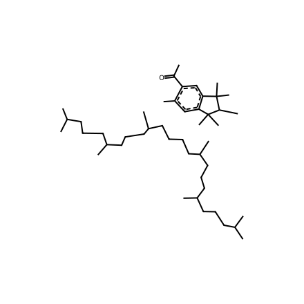 CC(=O)c1cc2c(cc1C)C(C)(C)C(C)C2(C)C.CC(C)CCCC(C)CCCC(C)CCCCC(C)CCCC(C)CCCC(C)C